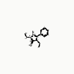 CCc1c(-c2ccccc2)[nH]n(CC)c1=O